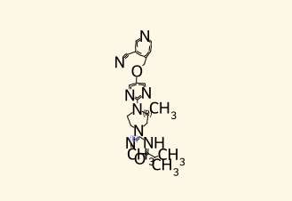 C/N=C(\NC(=O)C(C)C)N1CCN(c2ncc(OCc3ccncc3C#N)cn2)[C@H](C)C1